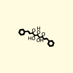 O=C(C=Cc1ccccc1)C(O)C(O)C(O)C(=O)C=Cc1ccccc1